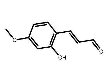 COc1ccc(/C=C/C=O)c(O)c1